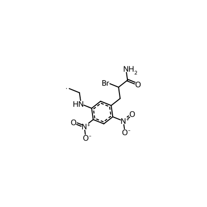 [CH2]CNc1cc(CC(Br)C(N)=O)c([N+](=O)[O-])cc1[N+](=O)[O-]